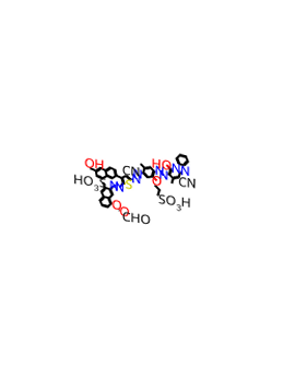 Cc1cc(N=Nc2c(C)c(C#N)c3nc4ccccc4n3c2O)c(OCCCS(=O)(=O)O)cc1N=Nc1sc(N=Nc2cc3c(OCOC=O)cccc3cc2S(=O)(=O)O)c(-c2ccc3cc(CO)ccc3c2)c1C#N